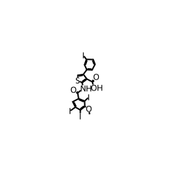 COc1c(I)c(I)cc(C(=O)Nc2scc(-c3cccc(I)c3)c2C(=O)O)c1I